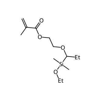 C=C(C)C(=O)OCCOC(CC)[Si](C)(C)OCC